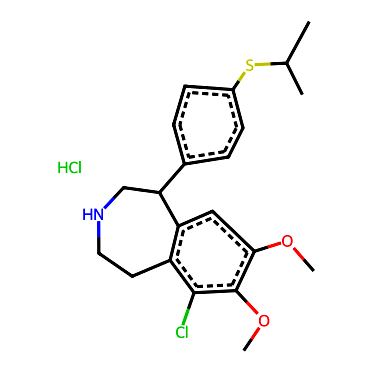 COc1cc2c(c(Cl)c1OC)CCNCC2c1ccc(SC(C)C)cc1.Cl